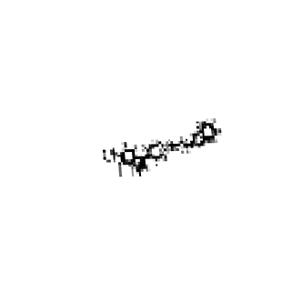 Clc1ccc2c(C3CCN(CCCCC4Cc5ccccc5C4)CC3)c[nH]c2c1